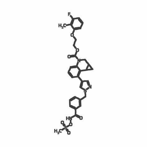 Cc1c(F)cccc1OCCOC(=O)N1CC2CC2c2c(-c3cnn(Cc4cccc(C(=O)NOS(C)(=O)=O)c4)c3)cccc21